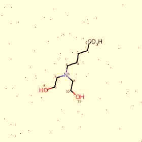 O=S(=O)(O)CCCCN(CCO)CCO